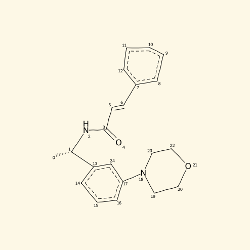 C[C@H](NC(=O)/C=C/c1ccccc1)c1cccc(N2CCOCC2)c1